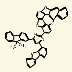 CC1(C)c2ccccc2-c2ccc(-c3cc(-c4cccc5c4oc4ccccc45)nc(-c4ccc5sc6c7ccccc7cc7oc8ccc9oc4c5c9c8c76)n3)cc21